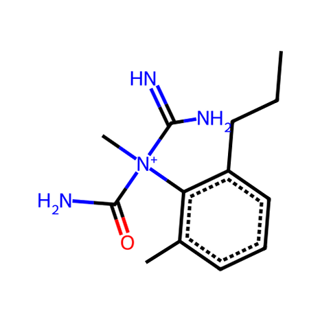 CCCc1cccc(C)c1[N+](C)(C(=N)N)C(N)=O